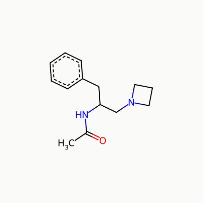 CC(=O)NC(Cc1ccccc1)CN1CCC1